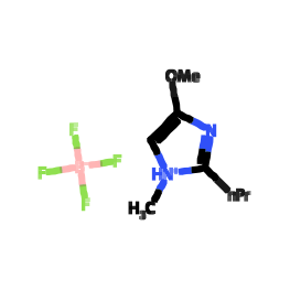 CCCC1=NC(OC)=C[NH+]1C.F[B-](F)(F)F